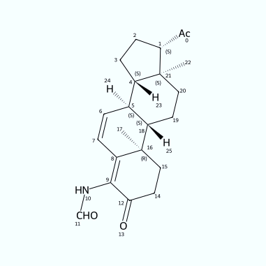 CC(=O)[C@H]1CC[C@H]2[C@@H]3C=CC4=C(NC=O)C(=O)CC[C@]4(C)[C@H]3CC[C@]12C